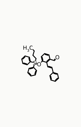 CCCC[Si](Oc1cccc(C=O)c1C=Cc1ccccc1)(c1ccccc1)c1ccccc1